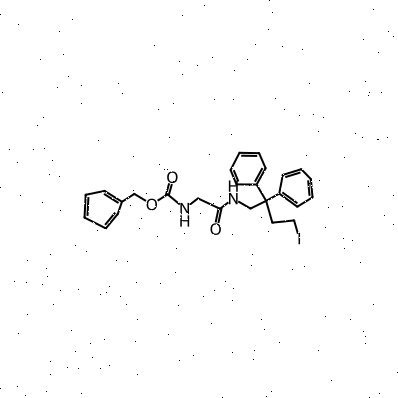 O=C(CNC(=O)OCc1ccccc1)NCC(CCI)(c1ccccc1)c1ccccc1